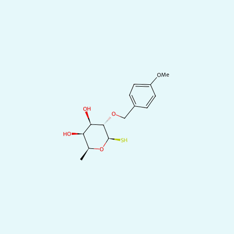 COc1ccc(CO[C@H]2[C@H](O)[C@H](O)[C@H](C)O[C@@H]2S)cc1